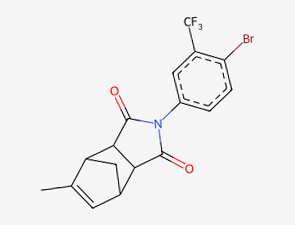 CC1=CC2CC1C1C(=O)N(c3ccc(Br)c(C(F)(F)F)c3)C(=O)C21